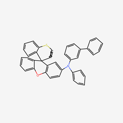 c1ccc(-c2cccc(N(c3ccccc3)c3ccc4c(c3)C3(c5ccccc5O4)c4ccccc4Sc4ccccc43)c2)cc1